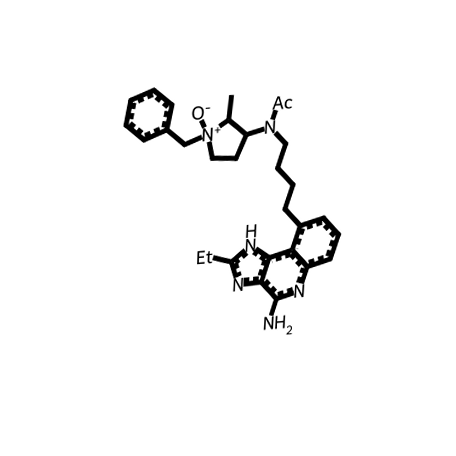 CCc1nc2c(N)nc3cccc(CCCCN(C(C)=O)C4CC[N+]([O-])(Cc5ccccc5)C4C)c3c2[nH]1